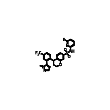 Cn1nccc1-c1cc(C(F)(F)F)ccc1C1CCOc2cc(S(=O)(=O)Nc3cccc(F)n3)ccc21